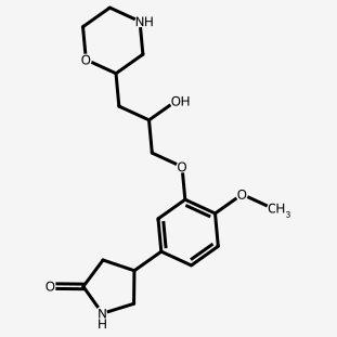 COc1ccc(C2CNC(=O)C2)cc1OCC(O)CC1CNCCO1